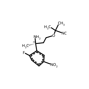 [C-]#[N+]C(C)(C)OCC[C@](C)(N)c1cc([N+](=O)[O-])ccc1F